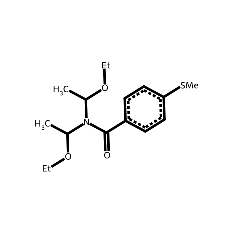 CCOC(C)N(C(=O)c1ccc(SC)cc1)C(C)OCC